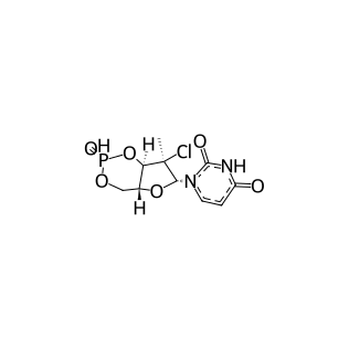 C[C@@]1(Cl)[C@@H]2O[PH](=O)OC[C@H]2O[C@H]1n1ccc(=O)[nH]c1=O